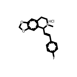 CN1CCc2cc3c(cc2C1C=Cc1ccc(F)cc1)OCO3.Cl